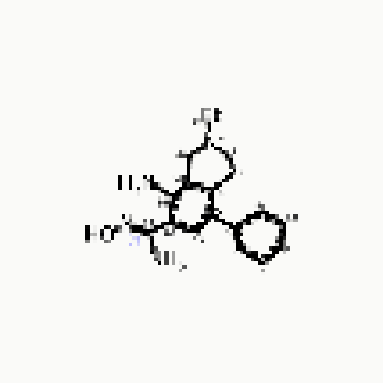 CCN1CCc2c(-c3ccccc3)cc(/C(N)=N/O)c(N)c2C1